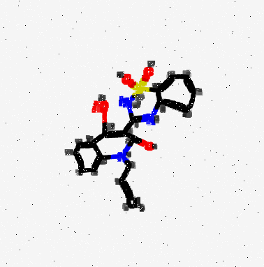 C=CCn1c(=O)c(C2=Nc3ccccc3S(=O)(=O)N2)c(O)c2ccccc21